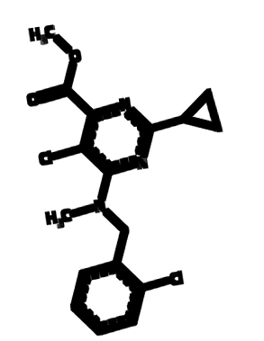 COC(=O)c1nc(C2CC2)nc(N(C)Cc2ccccc2Cl)c1Cl